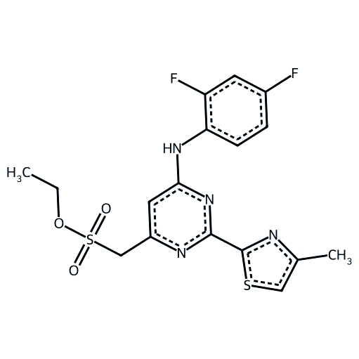 CCOS(=O)(=O)Cc1cc(Nc2ccc(F)cc2F)nc(-c2nc(C)cs2)n1